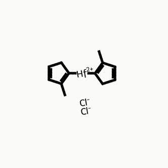 CC1=[C]([Hf+2][C]2=C(C)C=CC2)CC=C1.[Cl-].[Cl-]